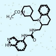 CC(=O)O.O=C(NCC1CCc2ccccc2N1CC1CCCCC1)Nc1cccc2[nH]ncc12